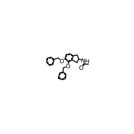 CC(=O)NC1Cc2ccc(OCc3ccccc3)c(OCc3ccccc3)c2C1